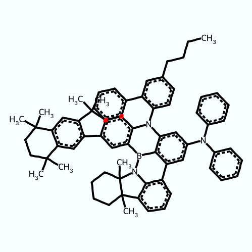 CCCCc1ccc(N2c3cc4c(cc3B3c5c(cc(N(c6ccccc6)c6ccccc6)cc52)-c2cccc5c2N3C2(C)CCCCC52C)-c2cc3c(cc2C4(C)C)C(C)(C)CCC3(C)C)c(-c2ccccc2)c1